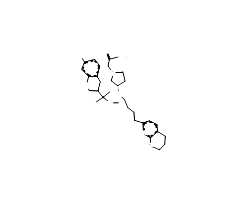 COC(C)(C)C1COc2cc(F)cc([C@H](C(=O)O)N3CC[C@@H](OCCCCc4ccc5c(n4)NCCC5)C3)c2C1